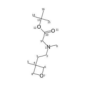 CN(CCC1(C)COC1)CC(=O)OC(C)(C)C